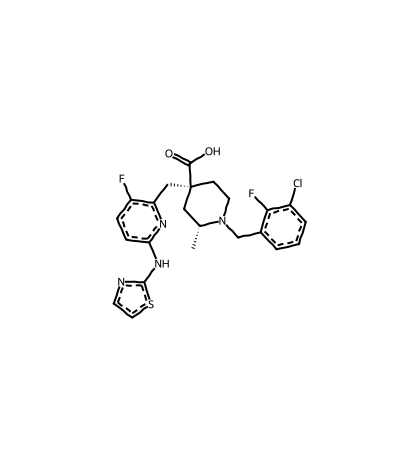 C[C@@H]1C[C@@](Cc2nc(Nc3nccs3)ccc2F)(C(=O)O)CCN1Cc1cccc(Cl)c1F